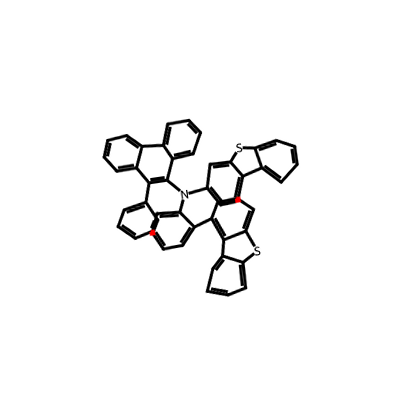 c1ccc(-c2c(N(c3ccc4c(c3)sc3ccccc34)c3ccccc3-c3cccc4sc5ccccc5c34)c3ccccc3c3ccccc23)cc1